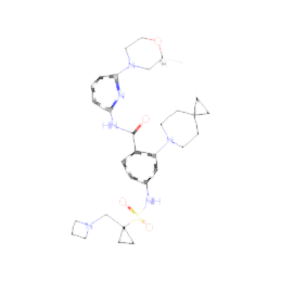 C[C@@H]1CN(c2cccc(NC(=O)c3ccc(NS(=O)(=O)C4(CN5CCC5)CC4)cc3N3CCC4(CC3)CC4)n2)CCO1